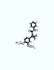 COc1ccc(C2C(C(=O)Nc3ccccc3)C2(F)F)cc1OC